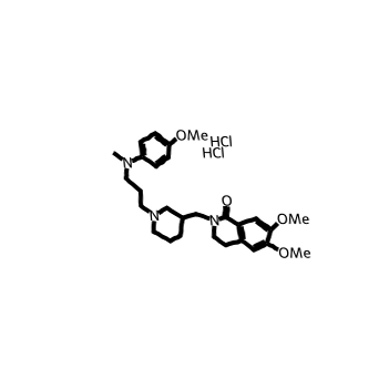 COc1ccc(N(C)CCCN2CCCC(CN3CCc4cc(OC)c(OC)cc4C3=O)C2)cc1.Cl.Cl